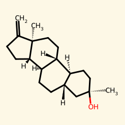 C=C1CC[C@H]2[C@@H]3CC[C@H]4C[C@](C)(O)CC[C@@H]4[C@H]3CC[C@]12C